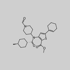 COC(=O)c1sc(C2=CCCCC2)cc1N(C(=O)[C@H]1CC[C@H](C)CC1)C1CCN(C=O)CC1